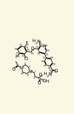 CC(=O)N1CCN(CCS(=O)(=O)O)CC1.NC(=O)c1ccc(-c2cnc(N)c(OCc3c(F)ccc(F)c3Cl)c2)cc1